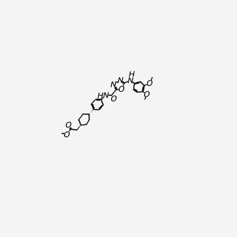 COC(=O)C[C@H]1CC[C@H](c2ccc(NC(=O)c3nnc(Nc4ccc(OC)c(OC)c4)o3)cc2)CC1